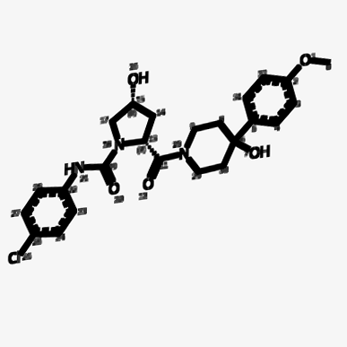 COc1ccc(C2(O)CCN(C(=O)[C@H]3C[C@@H](O)CN3C(=O)Nc3ccc(Cl)cc3)CC2)cc1